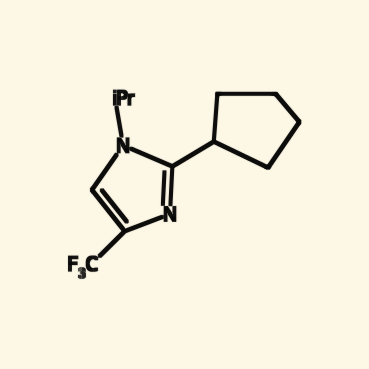 CC(C)n1cc(C(F)(F)F)nc1C1CCCC1